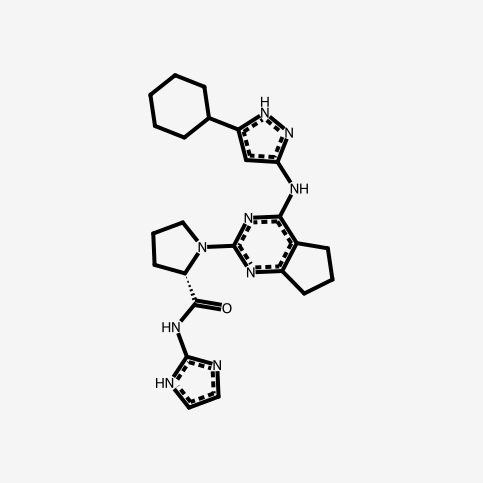 O=C(Nc1ncc[nH]1)[C@@H]1CCCN1c1nc2c(c(Nc3cc(C4CCCCC4)[nH]n3)n1)CCC2